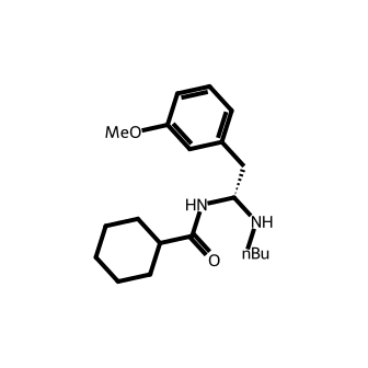 CCCCN[C@@H](Cc1cccc(OC)c1)NC(=O)C1CCCCC1